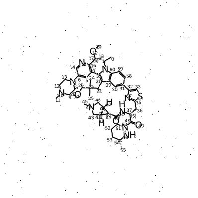 CCn1c(-c2cc(N3CCN(C)CC3)cnc2[C@H](C)OC)c(CC(C)(C)COC)c2cc(-c3csc(C[C@H](NC(=O)[C@H]4[C@@H]5CN(C)C[C@@H]54)C(=O)N4CCC[C@@H](C)N4)n3)ccc21